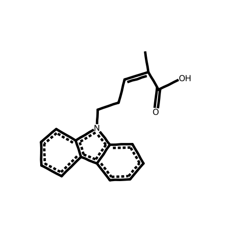 CC(=CCCn1c2ccccc2c2ccccc21)C(=O)O